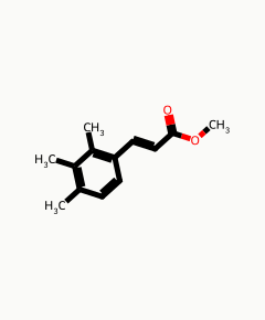 COC(=O)/C=C/c1ccc(C)c(C)c1C